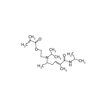 C=C(C)C(=O)OCCN(C(C)C)C(C)C/C=C(\C)C(=O)NC(C)C